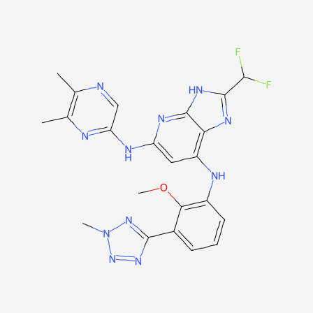 COc1c(Nc2cc(Nc3cnc(C)c(C)n3)nc3[nH]c(C(F)F)nc23)cccc1-c1nnn(C)n1